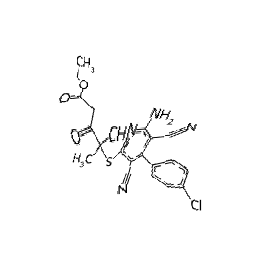 CCOC(=O)CC(=O)C(C)(C)Sc1nc(N)c(C#N)c(-c2ccc(Cl)cc2)c1C#N